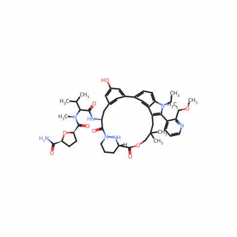 CCn1c(-c2cccnc2[C@H](C)OC)c2c3cc(ccc31)-c1cc(O)cc(c1)C[C@H](NC(=O)C(C(C)C)N(C)C(=O)[C@H]1CC[C@@H](C(N)=O)O1)C(=O)N1CCC[C@H](N1)C(=O)OCC(C)(C)C2